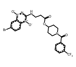 O=C(CCNc1n[n+]([O-])c2cc(Br)ccc2[n+]1[O-])OC1CCN(C(=O)c2cccc(C(F)(F)F)c2)CC1